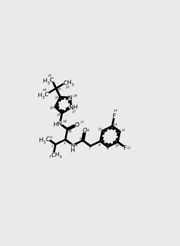 CC(C)C(NC(=O)Cc1cc(F)cc(F)c1)C(=O)Nc1cc(C(C)(C)C)n[nH]1